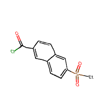 CCS(=O)(=O)c1ccc2cc(C(=O)Cl)ccc2c1